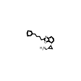 NC[C@@H]1C[C@H]1c1cccc2nc(CCCCc3ccccc3)oc12